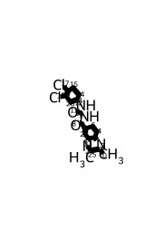 Cc1nc2ccc(C(=O)NC(=O)Nc3ccc(Cl)c(Cl)c3)cc2nc1C